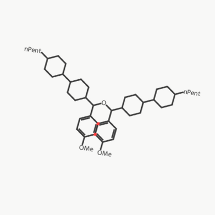 CCCCCC1CCC(C2CCC(C(OC(c3ccc(OC)cc3)C3CCC(C4CCC(CCCCC)CC4)CC3)c3ccc(OC)cc3)CC2)CC1